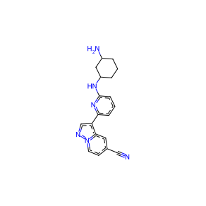 N#Cc1ccn2ncc(-c3cccc(NC4CCCC(N)C4)n3)c2c1